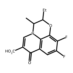 CCC1Oc2c(F)c(F)cc3c(=O)c(C(=O)O)cn(c23)C1C